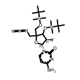 CC(C)(C)[Si](C)(C)OCC1(CN=[N+]=[N-])O[C@@H](n2ccc(N)nc2=O)[C@H](F)C1O[Si](C)(C)C(C)(C)C